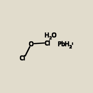 ClOCl.O.[PbH2]